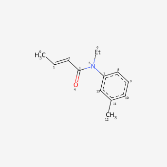 C/C=C/C(=O)N(CC)c1cccc(C)c1